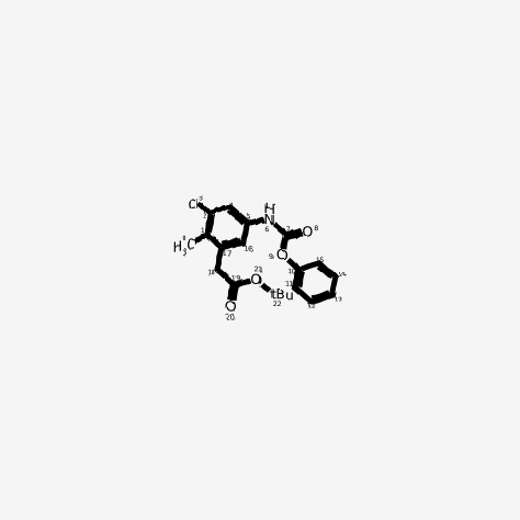 Cc1c(Cl)cc(NC(=O)Oc2ccccc2)cc1CC(=O)OC(C)(C)C